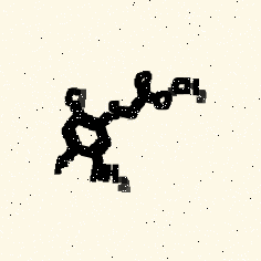 COC(=O)CSc1cc(N)c(F)cc1Cl